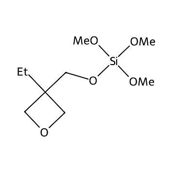 CCC1(CO[Si](OC)(OC)OC)COC1